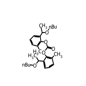 CCCCOC(C)c1cccc(C)c1OC(=O)Oc1c(C)cccc1C(C)OCCCC